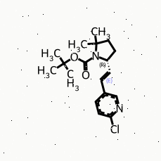 CC(C)(C)OC(=O)N1[C@@H](/C=C/c2ccc(Cl)nc2)CCC1(C)C